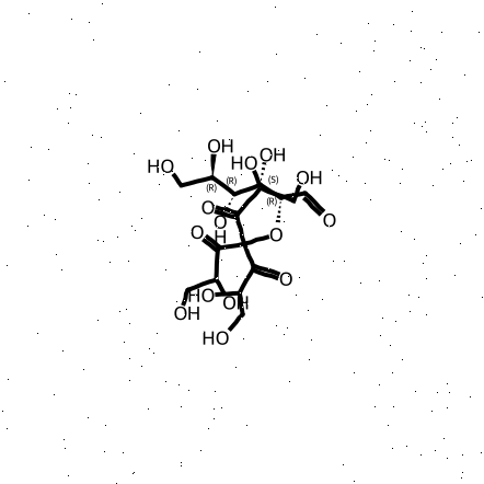 O=C[C@H](OC(C(=O)C(O)CO)(C(=O)C(O)CO)C(=O)C(O)CO)[C@@H](O)[C@H](O)[C@H](O)CO